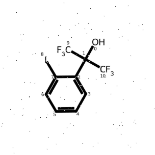 OC(c1ccccc1I)(C(F)(F)F)C(F)(F)F